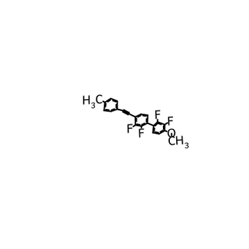 COc1ccc(-c2ccc(C#Cc3ccc(C)cc3)c(F)c2F)c(F)c1F